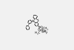 CC1(C)OB(c2ccc3c(c2)Sc2ccccc2N3c2cccc(-c3ccccc3)c2)OC1(C)C